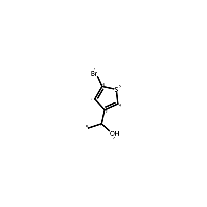 CC(O)c1csc(Br)c1